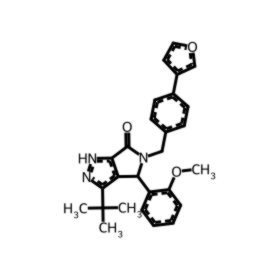 COc1ccccc1C1c2c(C(C)(C)C)n[nH]c2C(=O)N1Cc1ccc(-c2ccoc2)cc1